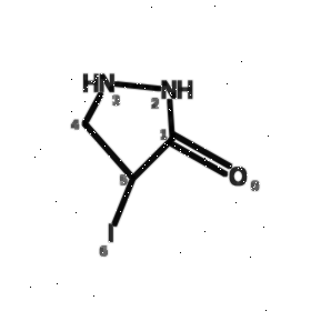 O=C1NNCC1I